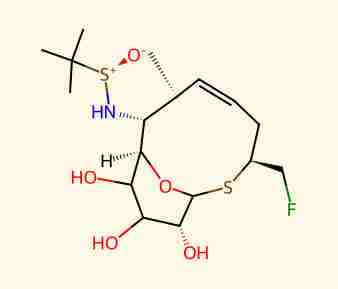 C[C@@H]1/C=C\C[C@@H](CF)SC2O[C@@H](C(O)C(O)[C@H]2O)[C@@H]1N[S@+]([O-])C(C)(C)C